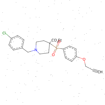 C#CCOc1ccc(S(=O)(=O)C2(C(=O)OCC)CCN(Cc3ccc(Cl)cc3)CC2)cc1